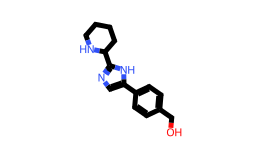 OCc1ccc(-c2cnc(C3CCCCN3)[nH]2)cc1